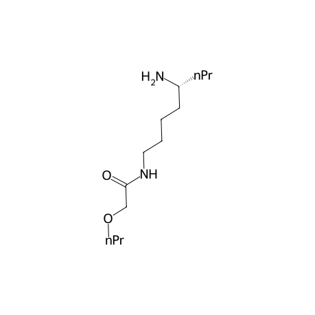 CCCOCC(=O)NCCCC[C@H](N)CCC